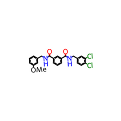 COc1cccc(CNC(=O)c2cccc(C(=O)NCc3ccc(Cl)c(Cl)c3)c2)c1